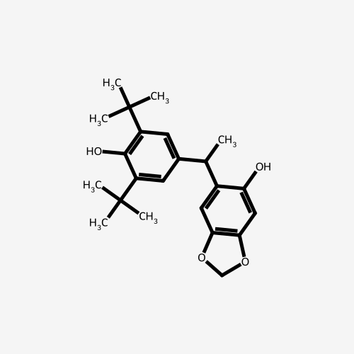 CC(c1cc(C(C)(C)C)c(O)c(C(C)(C)C)c1)c1cc2c(cc1O)OCO2